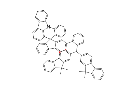 CC1(C)c2ccccc2-c2ccc(C(c3ccc4c(c3)C(C)(C)c3ccccc3-4)c3ccccc3-c3ccc4c(c3)C3(c5ccccc5-4)c4ccccc4-n4c5ccccc5c5cccc3c54)cc21